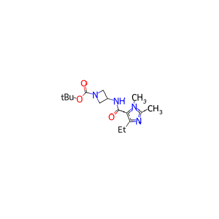 CCc1nc(C)n(C)c1C(=O)NC1CN(C(=O)OC(C)(C)C)C1